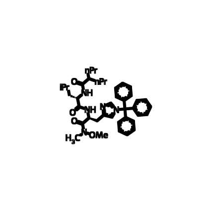 CCCC(CCC)C(=O)N[C@@H](CC(C)C)C(=O)N[C@@H](Cc1cn(C(c2ccccc2)(c2ccccc2)c2ccccc2)cn1)C(=O)N(C)OC